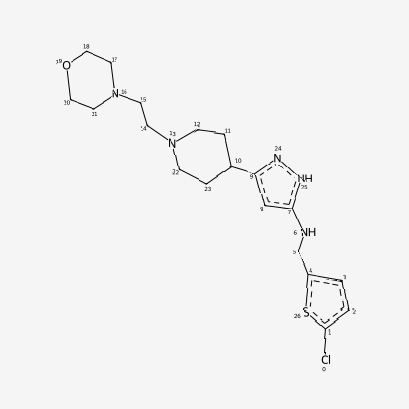 Clc1ccc(CNc2cc(C3CCN(CCN4CCOCC4)CC3)n[nH]2)s1